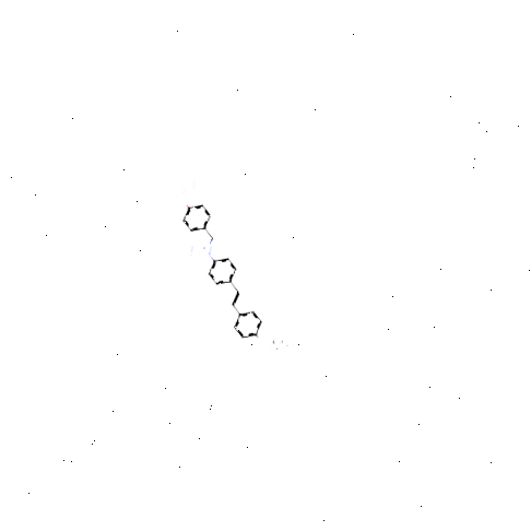 COc1ccc(/C=C/c2ccc(NCc3ccc(OC(F)(F)F)cc3)cc2)cc1